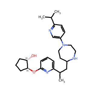 CC(C)c1ccc(N2CCNC(CC(C)c3cccc(O[C@H]4CCC[C@@H]4O)n3)CC2)cn1